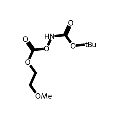 COCCOC(=O)ONC(=O)OC(C)(C)C